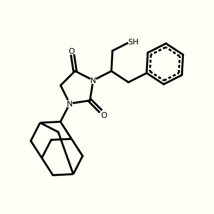 O=C1CN(C2C3CC4CC(C3)CC2C4)C(=O)N1C(CS)Cc1ccccc1